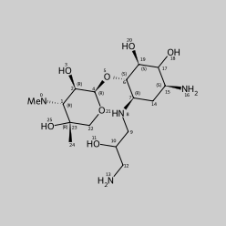 CN[C@@H]1[C@@H](O)[C@@H](O[C@H]2[C@H](NCC(O)CN)C[C@H](N)C(O)[C@@H]2O)OC[C@]1(C)O